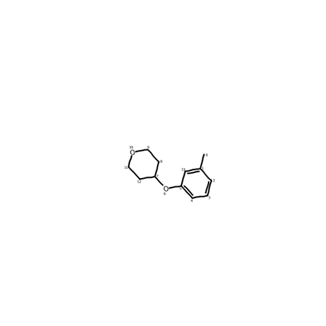 Cc1[c]ccc(OC2CCOCC2)c1